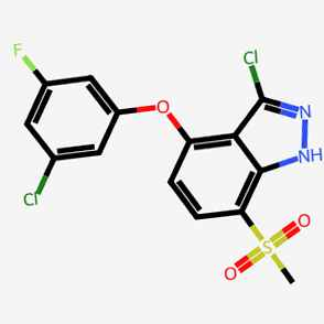 CS(=O)(=O)c1ccc(Oc2cc(F)cc(Cl)c2)c2c(Cl)n[nH]c12